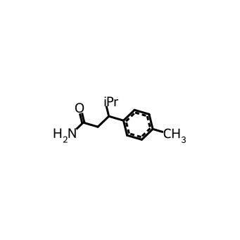 Cc1ccc(C(CC(N)=O)C(C)C)cc1